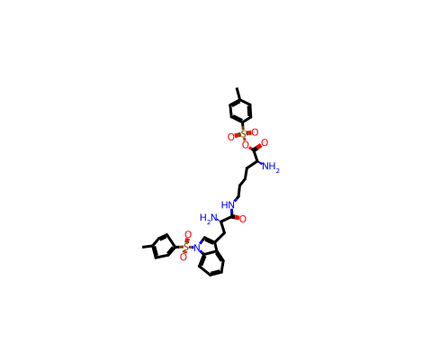 Cc1ccc(S(=O)(=O)OC(=O)[C@@H](N)CCCCNC(=O)[C@@H](N)Cc2cn(S(=O)(=O)c3ccc(C)cc3)c3ccccc23)cc1